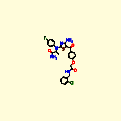 CC(C(N)=O)N(c1ccc(F)cc1)c1nc(N)c(C(=O)c2ccc(OCC(=O)NCc3ccccc3Cl)cc2)s1